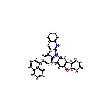 c1ccc2nc3c(cc2c1)c1cc(-c2cccc4ccccc24)cc2c4cc5oc6ccccc6c5cc4n3c21